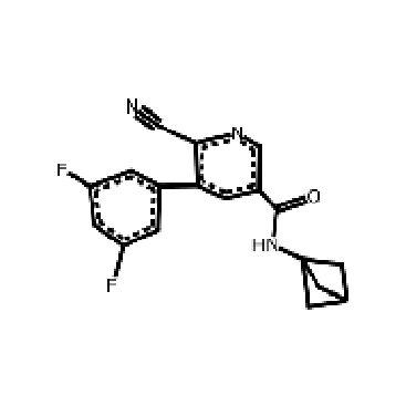 N#Cc1ncc(C(=O)NC23CC(C2)C3)cc1-c1cc(F)cc(F)c1